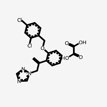 C=C(Cn1cncn1)c1ccccc1OCc1ccc(Cl)cc1Cl.O=C(O)C(=O)O